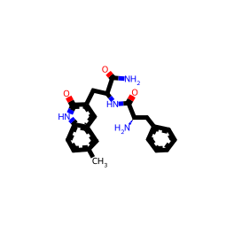 Cc1ccc2[nH]c(=O)c(CC(NC(=O)[C@@H](N)Cc3ccccc3)C(N)=O)cc2c1